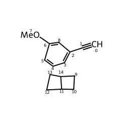 C#Cc1cccc(OC)c1.C1CC2CCC12